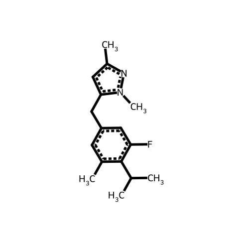 Cc1cc(Cc2cc(C)c(C(C)C)c(F)c2)n(C)n1